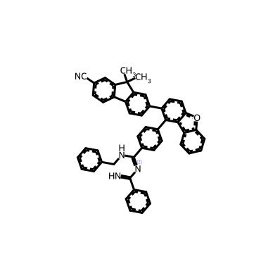 CC1(C)c2cc(C#N)ccc2-c2ccc(-c3ccc4oc5ccccc5c4c3-c3ccc(/C(=N/C(=N)c4ccccc4)NCc4ccccc4)cc3)cc21